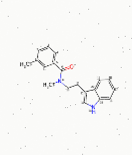 Cc1cccc(C(=O)N(C)CCc2c[nH]c3ccccc23)c1